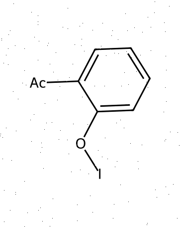 CC(=O)c1ccccc1OI